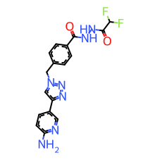 Nc1ccc(-c2cn(Cc3ccc(C(=O)NNC(=O)C(F)F)cc3)nn2)cn1